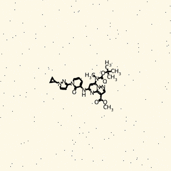 COC(=O)c1cnn2c(N(C)C(=O)OC(C)(C)C)cc(Nc3cccn(-c4ccn(C5CC5)n4)c3=O)nc12